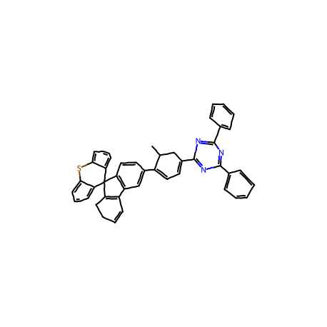 CC1CC(c2nc(-c3ccccc3)nc(-c3ccccc3)n2)=CC=C1c1ccc2c(c1)C1=C(CCC=C1)C21c2ccccc2Sc2ccccc21